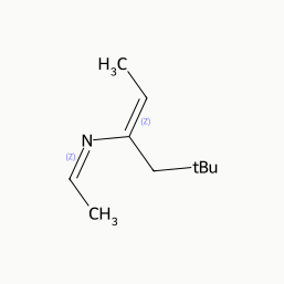 C/C=N\C(=C/C)CC(C)(C)C